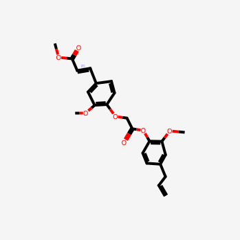 C=CCc1ccc(OC(=O)COc2ccc(/C=C/C(=O)OC)cc2OC)c(OC)c1